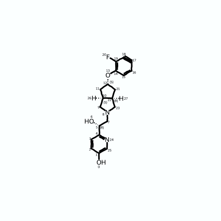 Oc1ccc([C@H](O)CN2C[C@H]3C[C@H](Oc4ccc#cc4F)C[C@H]3C2)nc1